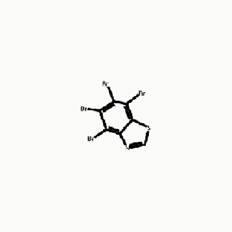 Brc1c(Br)c(Br)c2scnc2c1Br